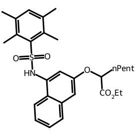 CCCCCC(Oc1cc(NS(=O)(=O)c2c(C)c(C)cc(C)c2C)c2ccccc2c1)C(=O)OCC